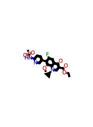 CCOC(=O)c1cn(C2CC2)c2c(OC)c(-c3ccc(NS(C)(=O)=O)nc3)c(F)cc2c1=O